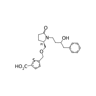 O=C(O)c1ccc(COC[C@H]2CCC(=O)N2CCC(O)Cc2ccccc2)s1